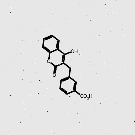 O=C(O)c1cccc(Cc2c(O)c3ccccc3oc2=O)c1